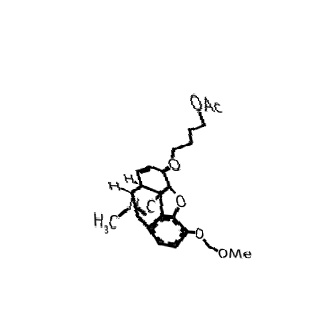 COCOc1ccc2c3c1OC1C(OCCCCOC(C)=O)C=C[C@H]4[C@@H](C2)N(C)CC[C@]314